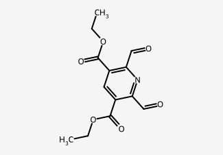 CCOC(=O)c1cc(C(=O)OCC)c(C=O)nc1C=O